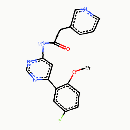 CC(C)Oc1ccc(F)cc1-c1cc(NC(=O)Cc2cccnc2)ncn1